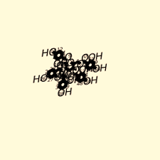 O=C(OCC1OC(OC(=O)c2ccc(O)cc2O)[C@H](OC(=O)c2ccc(O)cc2O)C(OC(=O)c2ccc(O)cc2O)[C@@H]1OC(=O)c1ccc(O)cc1O)c1ccc(O)cc1O